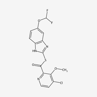 COc1c(Cl)ccnc1C(=O)Sc1nc2cc(OC(F)F)ccc2[nH]1